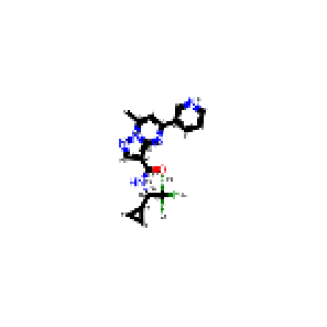 Cc1cc(-c2cccnc2)nc2c(C(=O)N[C@@H](C3CC3)C(F)(F)F)cnn12